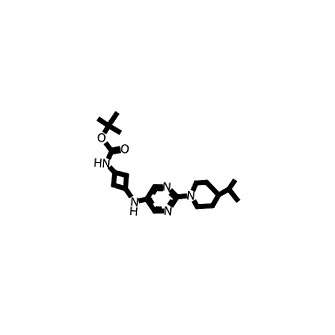 CC(C)C1CCN(c2ncc(NC3CC(NC(=O)OC(C)(C)C)C3)cn2)CC1